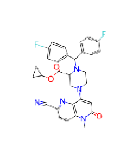 Cn1c(=O)cc(N2CCN(C(c3ccc(F)cc3)c3ccc(F)cc3)C(C(=O)OC3CC3)C2)c2nc(C#N)ccc21